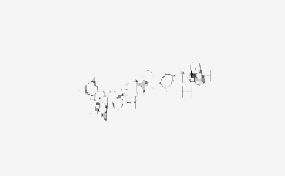 O=C(Cc1ccc(CN[SH](=O)=O)cc1)N1CCC(C(O)CC2c3ccccc3-c3cncn32)CC1